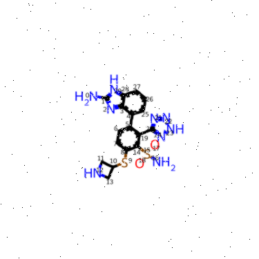 Nc1nc2c(-c3ccc(SC4CNC4)c(S(N)(=O)=O)c3-c3nn[nH]n3)cccc2[nH]1